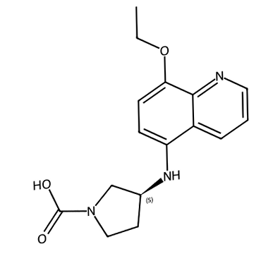 CCOc1ccc(N[C@H]2CCN(C(=O)O)C2)c2cccnc12